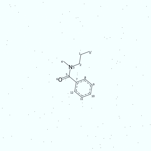 [CH2]CCN(C)C(=O)c1ccccc1